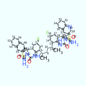 CC(C)c1cc(F)cc(C(C)CCC(C)c2cc(F)cc(C(C)C)c2NC(=O)N=S(N)(=O)c2cnc3ccccc3c2)c1NC(=O)N=S(N)(=O)c1ccc2ccccc2c1